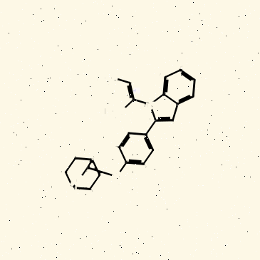 O=C(O)/C=C(\C(=O)O)n1c(-c2ccc(OC3CN4CCC3CC4)cc2)cc2ccccc21